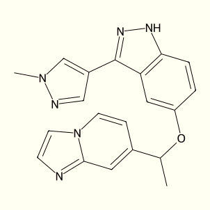 CC(Oc1ccc2[nH]nc(-c3cnn(C)c3)c2c1)c1ccn2ccnc2c1